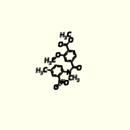 COC(=O)c1ccc(C(=O)N(C)c2ccc(C)cc2[N+](=O)[O-])cc1OC